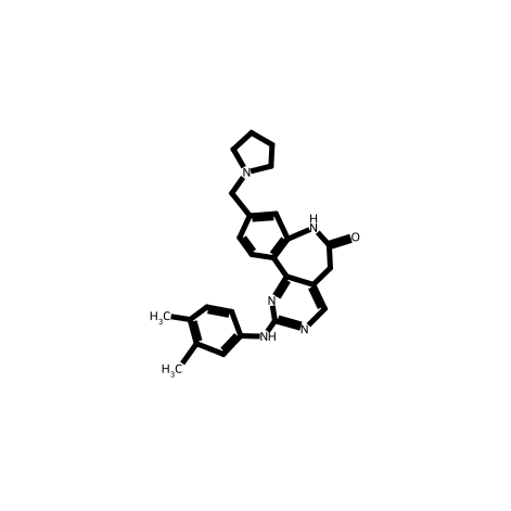 Cc1ccc(Nc2ncc3c(n2)-c2ccc(CN4CCCC4)cc2NC(=O)C3)cc1C